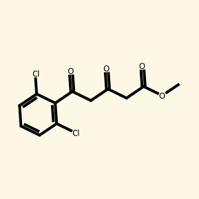 COC(=O)CC(=O)CC(=O)c1c(Cl)cccc1Cl